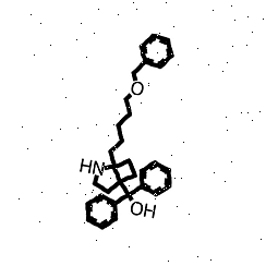 OC(c1ccccc1)(c1ccccc1)C12CCNC1(CCCCCOCc1ccccc1)CC2